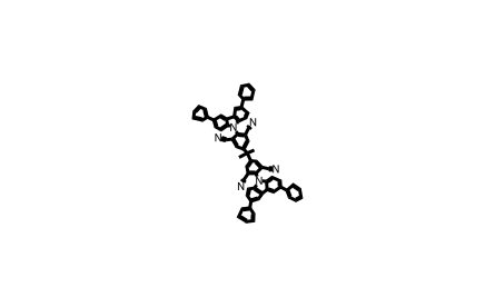 CC(C)(c1cc(C#N)c(-n2c3ccc(-c4ccccc4)cc3c3cc(-c4ccccc4)ccc32)c(C#N)c1)c1cc(C#N)c(-n2c3ccc(-c4ccccc4)cc3c3cc(-c4ccccc4)ccc32)c(C#N)c1